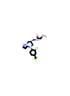 C=CC(=O)NC[C@H]1CN(c2ccc(C(F)(F)F)cc2Cl)c2ccnn2C1